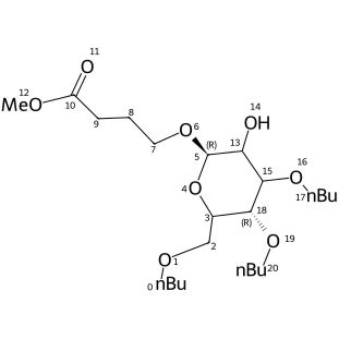 CCCCOCC1O[C@@H](OCCCC(=O)OC)C(O)C(OCCCC)[C@@H]1OCCCC